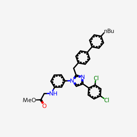 CCCCc1ccc(-c2ccc(Cc3nc(-c4ccc(Cl)cc4Cl)cn3-c3cccc(NCC(=O)OC)c3)cc2)cc1